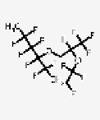 CC(F)(F)C(F)(F)C(F)(OCC(F)(OC(F)(F)CF)C(F)(F)F)C(C)(F)F